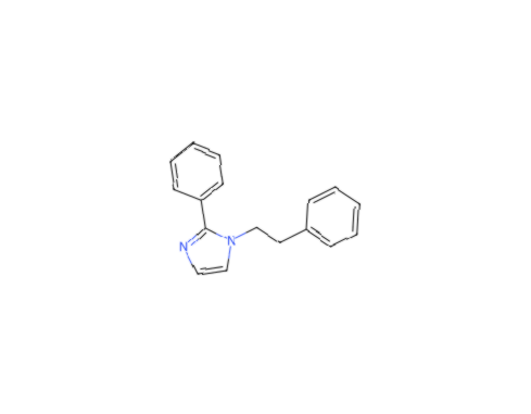 c1ccc(CCn2ccnc2-c2ccccc2)cc1